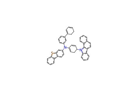 C1=CCCC(c2cccc(N(C3=CCC(n4c5ccccc5c5ccc6ccccc6c54)C=C3)c3ccc4c(c3)sc3ccccc34)c2)=C1